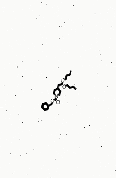 CCCCOC(CC1CCN(C(=O)OCc2ccccc2)CC1)OCCCC